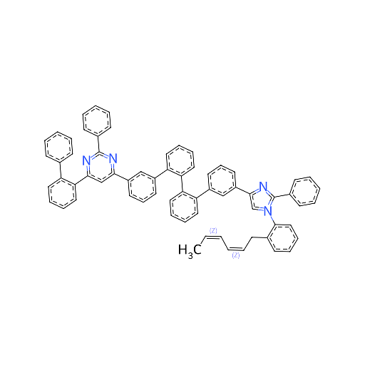 C/C=C\C=C/Cc1ccccc1-n1cc(-c2cccc(-c3ccccc3-c3ccccc3-c3cccc(-c4cc(-c5ccccc5-c5ccccc5)nc(-c5ccccc5)n4)c3)c2)nc1-c1ccccc1